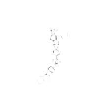 CCCCCN(C(=O)c1ccc([N+](=O)[O-])cc1)c1ccc(-c2ncc(-c3ccc(NC(=O)C4CCCCCC4)cc3)[nH]2)cc1